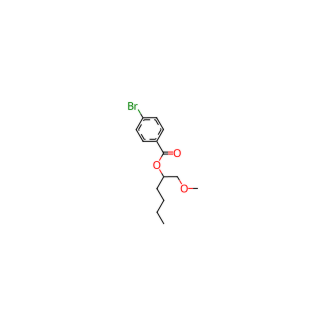 CCCCC(COC)OC(=O)c1ccc(Br)cc1